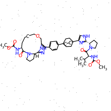 COC(=O)N[C@H]1CCCCOCc2[nH]c(nc2-c2ccc(C34CCC(c5c[nH]c([C@@H]6CCCN6C(=O)[C@@H](NC(=O)OC)C(C)C)n5)(CC3)CC4)cc2)[C@@H]2CCCN2C1=O